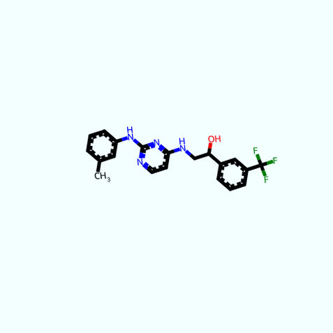 Cc1cccc(Nc2nccc(NCC(O)c3cccc(C(F)(F)F)c3)n2)c1